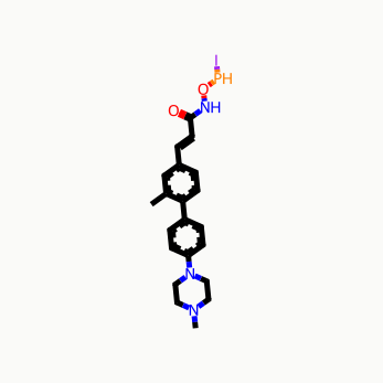 Cc1cc(/C=C/C(=O)NOPI)ccc1-c1ccc(N2CCN(C)CC2)cc1